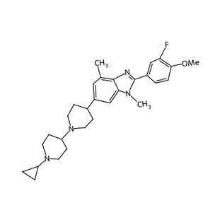 COc1ccc(-c2nc3c(C)cc(C4CCN(C5CCN(C6CC6)CC5)CC4)cc3n2C)cc1F